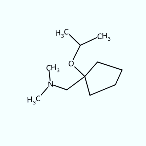 CC(C)OC1(CN(C)C)CCCC1